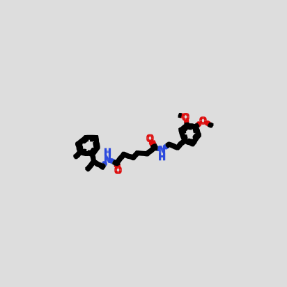 COc1ccc(CCNC(=O)CCCCC(=O)NCC(C)c2ccccc2C)cc1OC